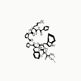 CCCC[C@H](NC(=O)[C@@H]1CCCN1C(=O)[C@H]1CCCN1C(=O)[C@H](Cc1ccccc1)NC(=O)[C@@H](Cc1c[nH]c2ccccc12)NC(=O)[C@H](C)NC(=O)[C@H](C)N)C(=O)NC(=O)c1ccccc1